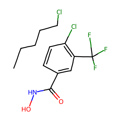 CCCCCCl.O=C(NO)c1ccc(Cl)c(C(F)(F)F)c1